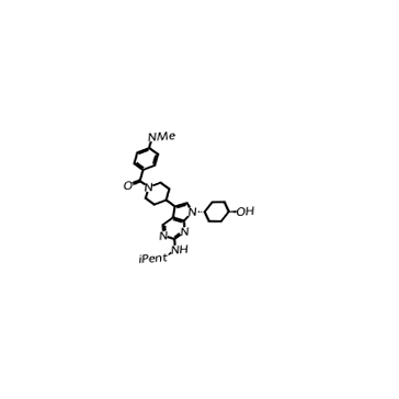 CCC[C@H](C)Nc1ncc2c(C3CCN(C(=O)c4ccc(NC)cc4)CC3)cn([C@H]3CC[C@H](O)CC3)c2n1